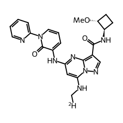 [2H]CNc1cc(Nc2cccn(-c3ccccn3)c2=O)nc2c(C(=O)N[C@@H]3CC[C@H]3OC)cnn12